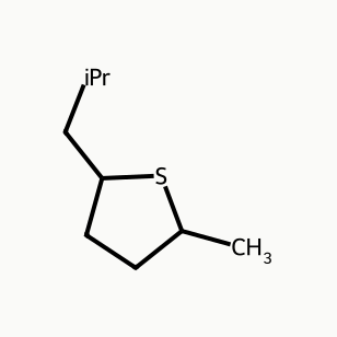 CC(C)CC1CCC(C)S1